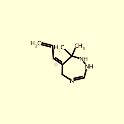 C=C/C=C1/CN=CNNC1(C)C